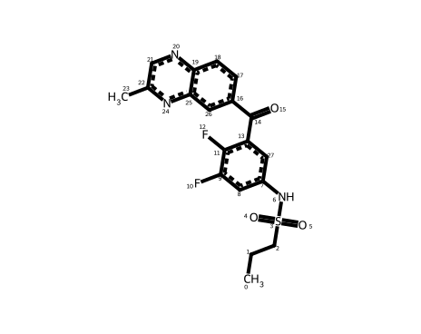 CCCS(=O)(=O)Nc1cc(F)c(F)c(C(=O)c2ccc3ncc(C)nc3c2)c1